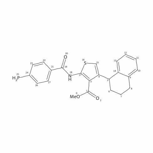 COC(=O)c1c(C2CCCc3ccccc32)csc1NC(=O)c1ccc(P)cc1